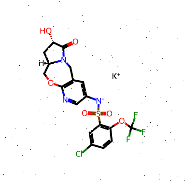 O=C1[C@@H](O)C[C@H]2COc3ncc([N-]S(=O)(=O)c4cc(Cl)ccc4OC(F)(F)F)cc3CN12.[K+]